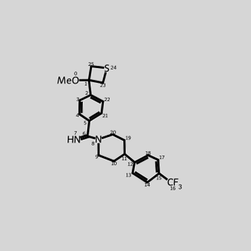 COC1(c2ccc(C(=N)N3CCC(c4ccc(C(F)(F)F)cc4)CC3)cc2)CSC1